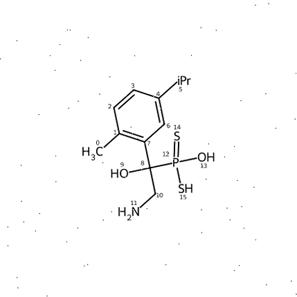 Cc1ccc(C(C)C)cc1C(O)(CN)P(O)(=S)S